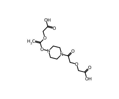 C=C(OCC(=O)O)ON1CCN(C(=O)COCC(=O)O)CC1